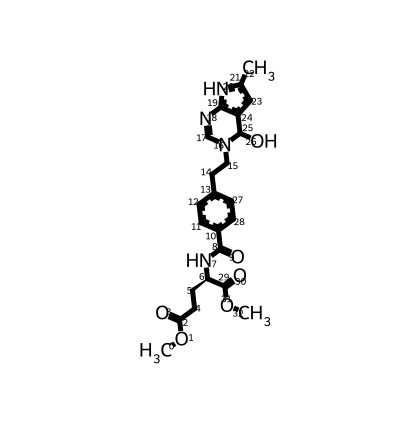 COC(=O)CC[C@@H](NC(=O)c1ccc(CCN2C=Nc3[nH]c(C)cc3C2O)cc1)C(=O)OC